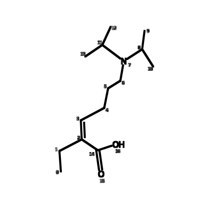 CCC(=CCCCN(C(C)C)C(C)C)C(=O)O